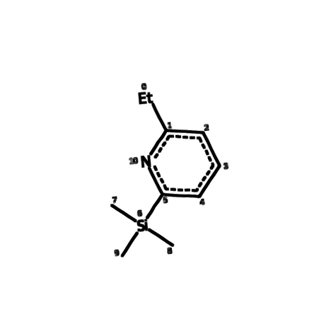 CCc1cccc([Si](C)(C)C)n1